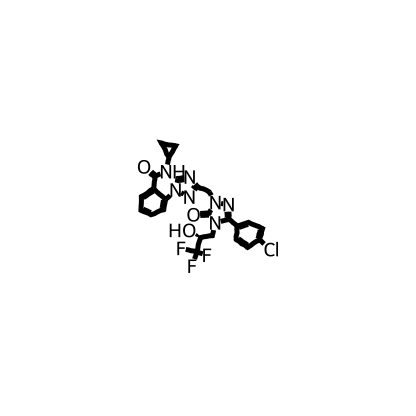 O=C(NC1CC1)c1ccccc1-n1cnc(Cn2nc(-c3ccc(Cl)cc3)n(C[C@H](O)C(F)(F)F)c2=O)n1